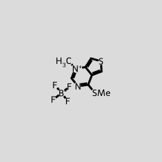 CSc1nc[n+](C)c2cscc12.F[B-](F)(F)F